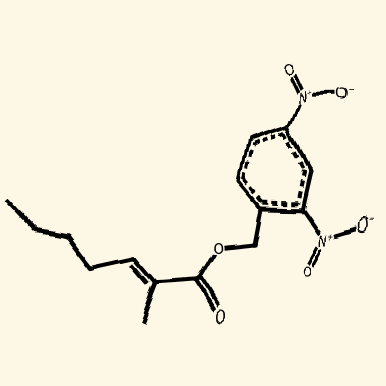 CCCCC=C(C)C(=O)OCc1ccc([N+](=O)[O-])cc1[N+](=O)[O-]